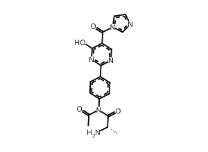 CC(=O)N(C(=O)[C@H](C)N)c1ccc(-c2ncc(C(=O)n3ccnc3)c(O)n2)cc1